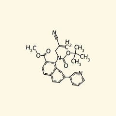 C=C(C#N)CN(C(=O)OC(C)(C)C)c1c(C(=O)OC)ccc2ccc(-c3cccnc3)cc12